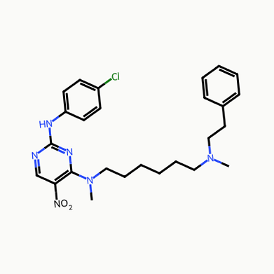 CN(CCCCCCN(C)c1nc(Nc2ccc(Cl)cc2)ncc1[N+](=O)[O-])CCc1ccccc1